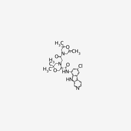 C[C@H]1CN(C(=O)CN2CC(C)(C)OC[C@H]2C(=O)Nc2cc(Cl)cc3c2[nH]c2cnccc23)C[C@H](C)O1